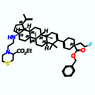 C=C(C)[C@@H]1CC[C@]2(NCCN3CCSCC3C(=O)OCC)CC[C@]3(C)[C@H](CC[C@@H]4[C@@]5(C)CC=C(C6=CC[C@@](CCF)(C(=O)OCc7ccccc7)CC6)C(C)(C)[C@@H]5CC[C@]43C)[C@@H]12